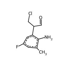 Cc1cc(F)cc(C(C=O)CCl)c1N